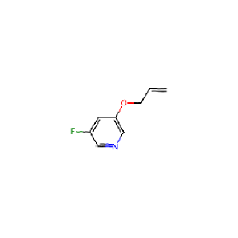 C=CCOc1cn[c]c(F)c1